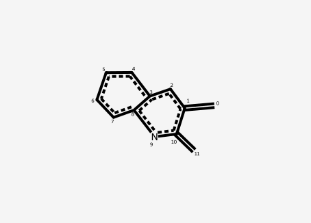 C=c1cc2ccccc2nc1=C